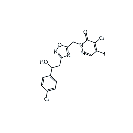 O=c1c(Cl)c(I)cnn1Cc1nc(CC(O)c2ccc(Cl)cc2)no1